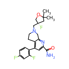 CC1(C)C[C@@](F)(CN2CCc3c(-c4ccc(F)cc4F)cc(C(N)=O)nc3C2)CO1